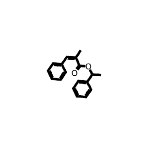 CC(=Cc1ccccc1)C(=O)OC(C)c1ccccc1